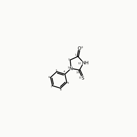 O=C1CN(c2ccccc2)C(=S)N1